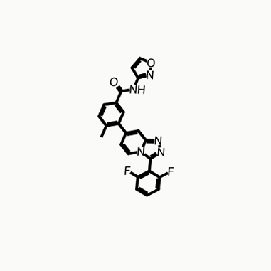 Cc1ccc(C(=O)Nc2ccon2)cc1-c1ccn2c(-c3c(F)cccc3F)nnc2c1